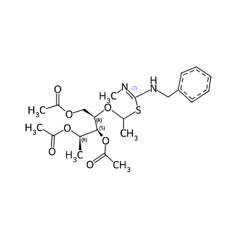 C/N=C(/NCc1ccccc1)SC(C)O[C@H](COC(C)=O)[C@@H](OC(C)=O)[C@@H](C)OC(C)=O